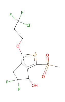 CS(=O)(=O)c1sc(OCCC(F)(F)Cl)c2c1[C@H](O)C(F)(F)C2